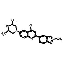 CC1CN(c2cnc3nc(-c4ccc5nn(C)cc5c4)cc(Cl)c3c2)CC(C)N1